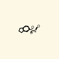 O=C=NS(=O)(=O)c1ccc2c(c1)CCC2